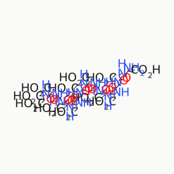 N[C@@H](CC(=O)O)C(=O)N[C@@H](CC(=O)O)C(=O)NCC(=O)N[C@@H](CC(=O)O)C(=O)N[C@@H](CC(=O)O)C(=O)NCC(=O)N[C@@H](CC(=O)O)C(=O)N[C@@H](CC(=O)O)C(=O)NCC(=O)N[C@@H](CC(=O)O)C(=O)N[C@@H](CC(=O)O)C(=O)NCC(=O)N[C@@H](CC(=O)O)C(=O)N[C@@H](CC(=O)O)C(=O)O